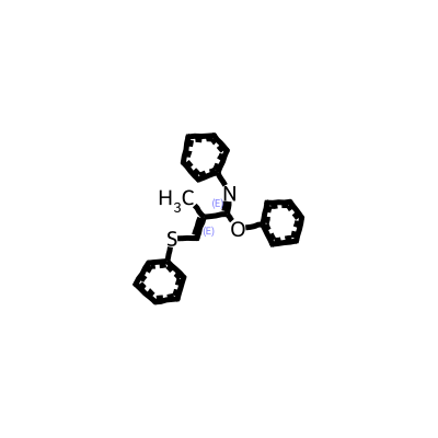 CC(=C\Sc1ccccc1)/C(=N\c1ccccc1)Oc1ccccc1